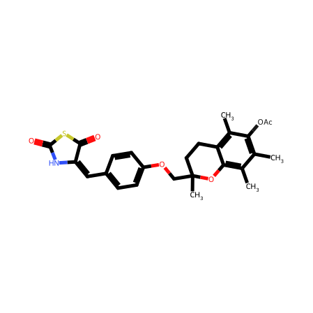 CC(=O)Oc1c(C)c(C)c2c(c1C)CCC(C)(COc1ccc(C=C3NC(=O)SC3=O)cc1)O2